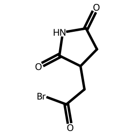 O=C(Br)CC1CC(=O)NC1=O